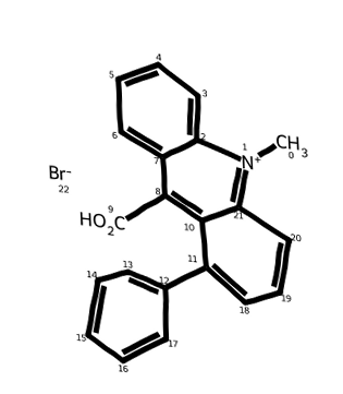 C[n+]1c2ccccc2c(C(=O)O)c2c(-c3ccccc3)cccc21.[Br-]